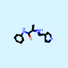 CC(NCc1ccncc1)C(=O)Nc1ccccc1